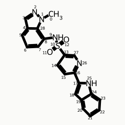 Cn1ncc2cccc(NS(=O)(=O)c3ccc(-c4cc5ccccc5[nH]4)nc3)c21